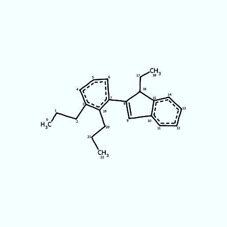 CCCc1cccc(C2=Cc3ccccc3[C]2CC)c1CCC